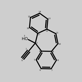 C#CC1(O)c2ccccc2C=Cc2ccccc21